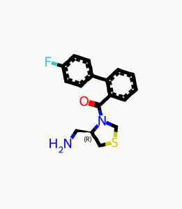 NC[C@@H]1CSCN1C(=O)c1ccccc1-c1ccc(F)cc1